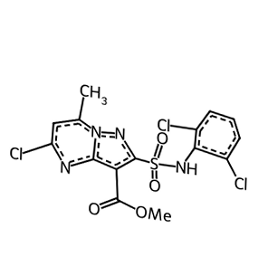 COC(=O)c1c(S(=O)(=O)Nc2c(Cl)cccc2Cl)nn2c(C)cc(Cl)nc12